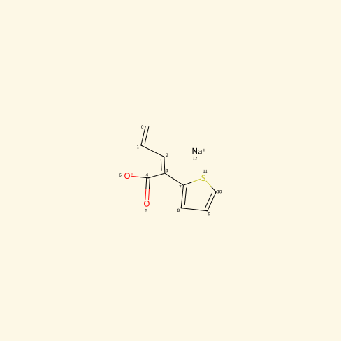 C=CC=C(C(=O)[O-])c1cccs1.[Na+]